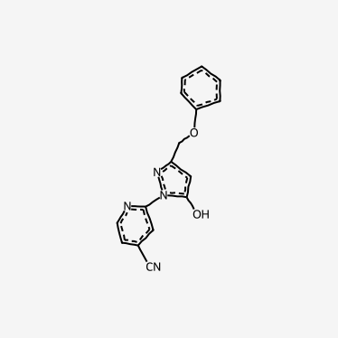 N#Cc1ccnc(-n2nc(COc3ccccc3)cc2O)c1